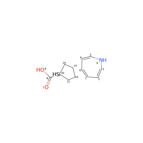 C1=CC=CNC=C1.O=C(O)[SiH]1CCCC1